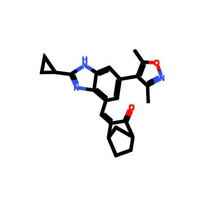 Cc1noc(C)c1-c1cc(C=C2C(=O)C3CCC2C3)c2nc(C3CC3)[nH]c2c1